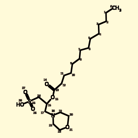 CCCCCCCCCCCCCC(=O)OC(CN1CCOCC1)CS(=O)(=O)O